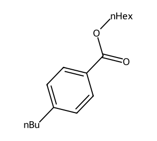 CCCCCCOC(=O)c1ccc(CCCC)cc1